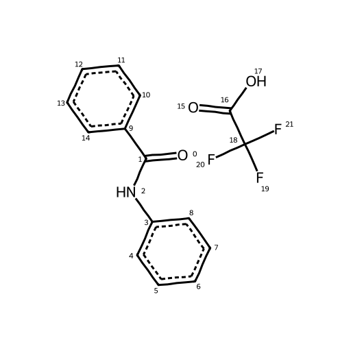 O=C(Nc1ccccc1)c1ccccc1.O=C(O)C(F)(F)F